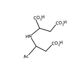 CC(=O)C(CC(=O)O)NC(CC(=O)O)C(=O)O